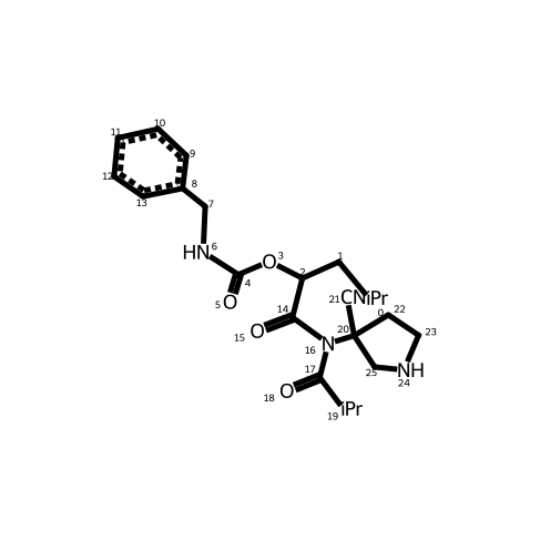 CC(C)CC(OC(=O)NCc1ccccc1)C(=O)N(C(=O)C(C)C)C1(C#N)CCNC1